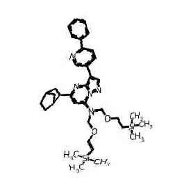 C[Si](C)(C)CCOCN(COCC[Si](C)(C)C)c1cc(C2CC3CCC2C3)nc2c(-c3ccc(-c4ccccc4)nc3)cnn12